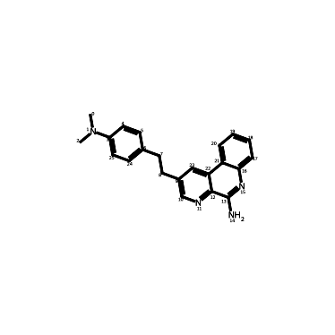 CN(C)c1ccc(CCc2cnc3c(N)nc4ccccc4c3c2)cc1